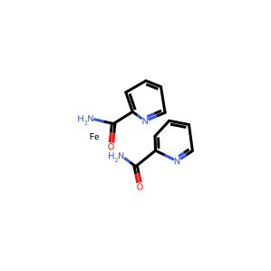 NC(=O)c1ccccn1.NC(=O)c1ccccn1.[Fe]